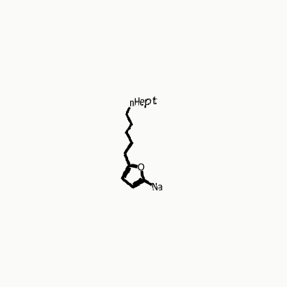 CCCCCCCCCCCCc1cc[c]([Na])o1